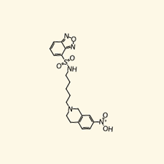 O=[N+](O)c1ccc2c(c1)CN(CCCCCNS(=O)(=O)c1cccc3nonc13)CC2